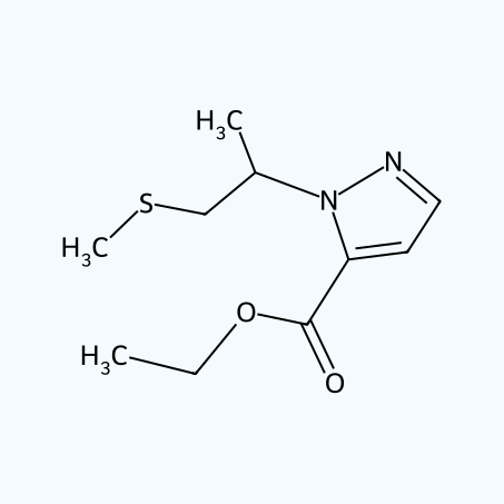 CCOC(=O)c1ccnn1C(C)CSC